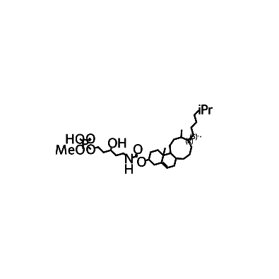 COP(=O)(O)OCCC(O)CCNC(=O)OC1CCC2(C)C(=CCC3CCC[C@H]([C@@H](C)CCCC(C)C)C(C)CCC32)C1